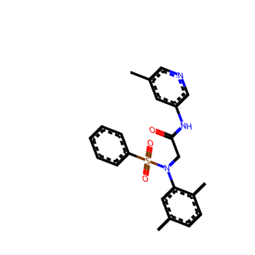 Cc1cncc(NC(=O)CN(c2cc(C)ccc2C)S(=O)(=O)c2ccccc2)c1